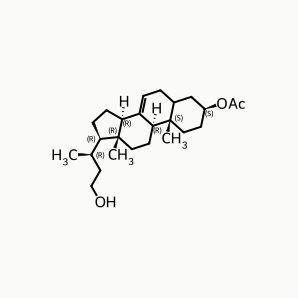 CC(=O)O[C@H]1CC[C@@]2(C)C(CC=C3[C@@H]4CC[C@H]([C@H](C)CCO)[C@@]4(C)CC[C@@H]32)C1